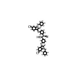 Cc1c(Sc2cccc(C(O)C(C#N)c3cccc(Sc4c(C)n(Cc5ccccc5)c5cc(Cl)ccc45)c3)c2)c2ccc(Cl)cc2n1Cc1ccccc1